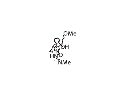 CNC[C@H](C)NC(=O)N1CCC[C@@H]([C@@](O)(CCCCOC)c2ccccc2OCC2CC2)C1